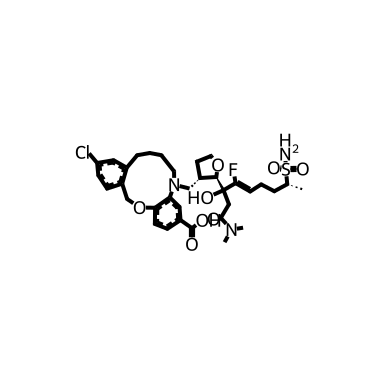 C[C@H](CC/C=C(\F)C(O)(CC(=O)N(C)C)[C@@H]1OCC[C@H]1CN1CCCCc2cc(Cl)ccc2COc2ccc(C(=O)O)cc21)S(N)(=O)=O